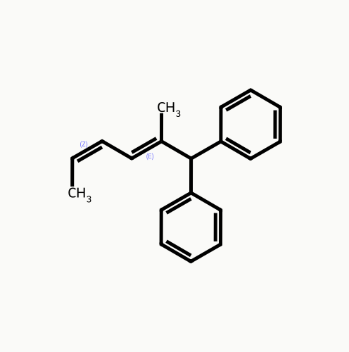 C/C=C\C=C(/C)C(c1ccccc1)c1ccccc1